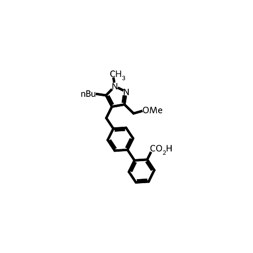 CCCCc1c(Cc2ccc(-c3ccccc3C(=O)O)cc2)c(COC)nn1C